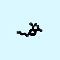 O=[N+]([O-])c1ccc(OCCO)cc1[N+](=O)[O-]